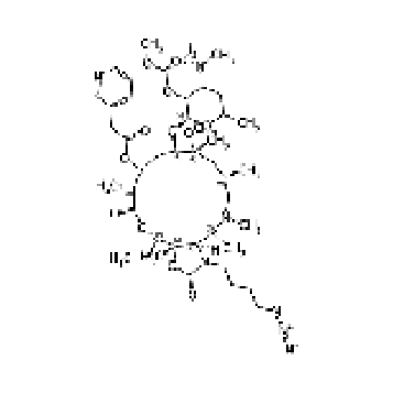 CC[C@H]1OC(=O)[C@H](C)C(OC(=O)Cc2cccnc2)C[C@@H](O[C@@H]2OC(C)CC(N(C)C)C2OC(=O)OC)[C@](C)(OC)C[C@@H](C)CN(C)[C@H](C)[C@H]2N(CCCCN=[N+]=[N-])C(=O)O[C@]12C